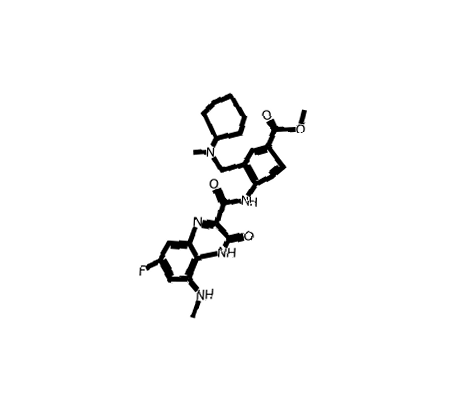 CNc1cc(F)cc2nc(C(=O)Nc3ccc(C(=O)OC)cc3CN(C)C3CCCCC3)c(=O)[nH]c12